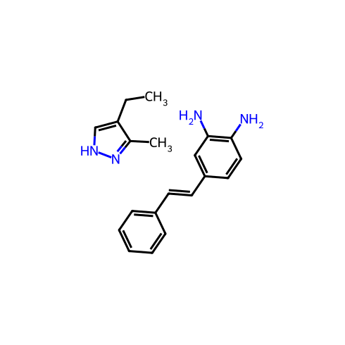 CCc1c[nH]nc1C.Nc1ccc(C=Cc2ccccc2)cc1N